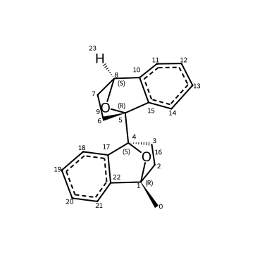 C[C@]12CC[C@]([C@]34CC[C@H](O3)c3ccccc34)(O1)c1ccccc12